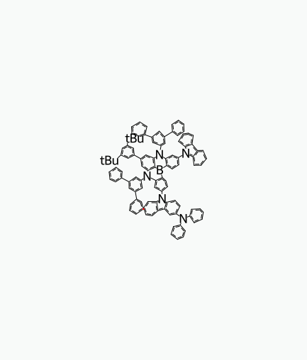 CC(C)(C)c1cc(-c2cc3c4c(c2)N(c2cc(-c5ccccc5)cc(-c5ccccc5)c2)c2cc(-n5c6ccccc6c6cc(N(c7ccccc7)c7ccccc7)ccc65)ccc2B4c2ccc(-n4c5ccccc5c5ccccc54)cc2N3c2cc(-c3ccccc3)cc(-c3ccccc3)c2)cc(C(C)(C)C)c1